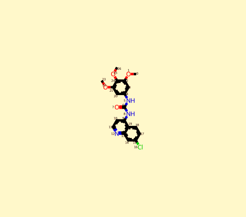 COc1cc(NC(=O)Nc2ccnc3cc(Cl)ccc23)cc(OC)c1OC